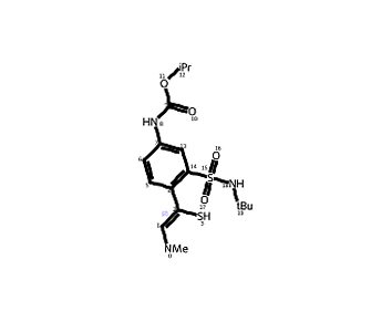 CN/C=C(\S)c1ccc(NC(=O)OC(C)C)cc1S(=O)(=O)NC(C)(C)C